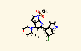 CC1COCCN1c1cc(-c2cc(F)cc3[nH]ccc23)nc2c1ccn2S(C)(=O)=O